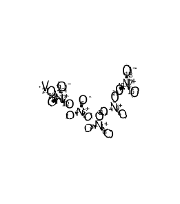 O=[N+]([O-])[O-].O=[N+]([O-])[O-].O=[N+]([O-])[O-].O=[N+]([O-])[O-].O=[N+]([O-])[O-].[O-2].[V]